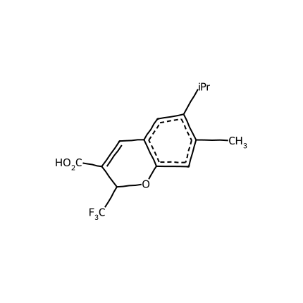 Cc1cc2c(cc1C(C)C)C=C(C(=O)O)C(C(F)(F)F)O2